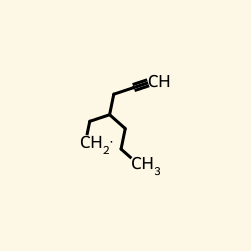 C#CCC(C[CH2])CCC